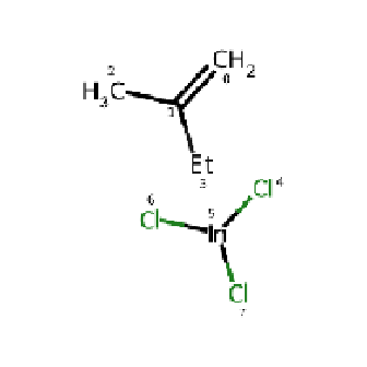 C=C(C)CC.[Cl][In]([Cl])[Cl]